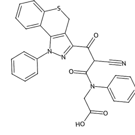 N#CC(C(=O)c1nn(-c2ccccc2)c2c1CSc1ccccc1-2)C(=O)N(CC(=O)O)c1ccccc1